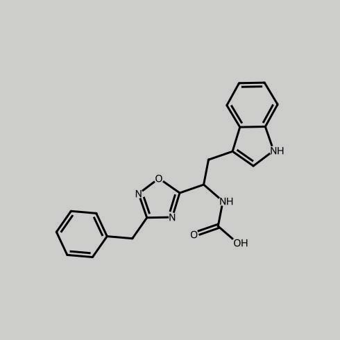 O=C(O)NC(Cc1c[nH]c2ccccc12)c1nc(Cc2ccccc2)no1